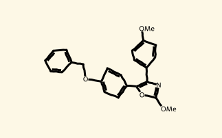 COc1ccc(-c2nc(OC)oc2-c2ccc(OCc3ccccc3)cc2)cc1